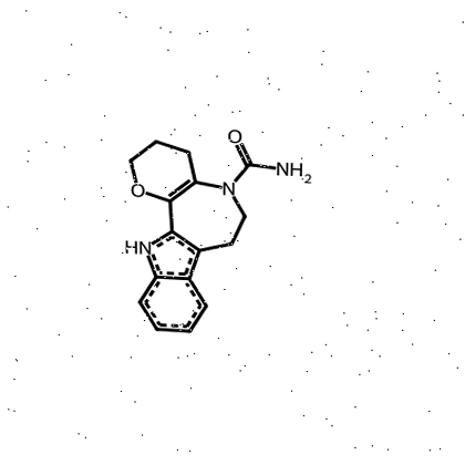 NC(=O)N1CCc2c([nH]c3ccccc23)C2=C1CCCO2